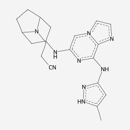 Cc1cc(Nc2nc(NC3CC4CCC(C3)N4CCC#N)cn3ccnc23)n[nH]1